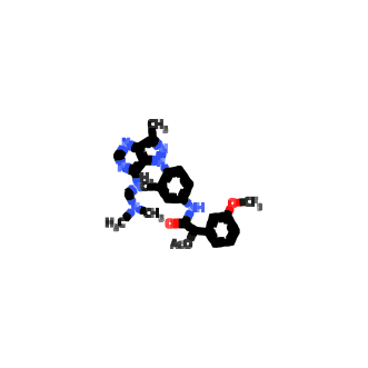 CC(=O)OC(C(=O)Nc1ccc(-n2nc(C)c3ncnc(/N=C/N(C)C)c32)c(C)c1)c1cccc(OC(F)(F)F)c1